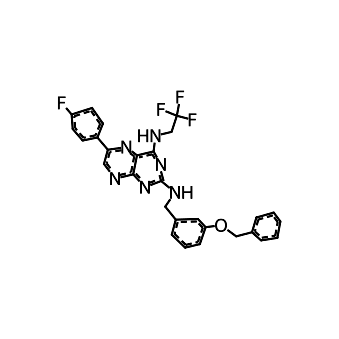 Fc1ccc(-c2cnc3nc(NCc4cccc(OCc5ccccc5)c4)nc(NCC(F)(F)F)c3n2)cc1